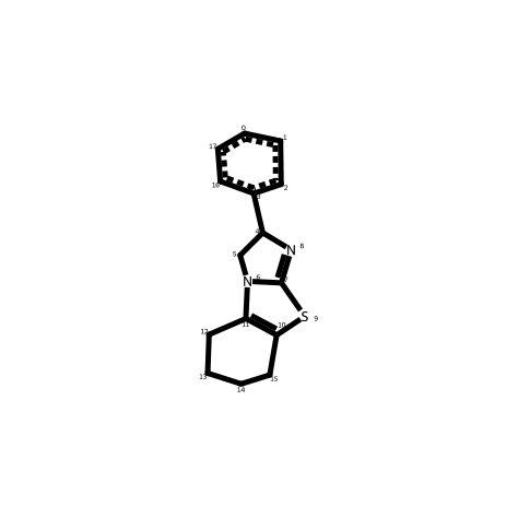 c1ccc(C2CN3C(=N2)SC2=C3CCCC2)cc1